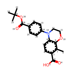 Cc1c(C(=O)O)ccc2c1OCCN2c1ccc(C(=O)OC(C)(C)C)cc1